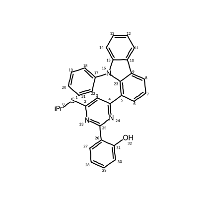 CC(C)Sc1cc(-c2cccc3c4ccccc4n(-c4ccccc4)c23)nc(-c2ccccc2O)n1